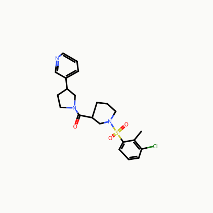 Cc1c(Cl)cccc1S(=O)(=O)N1CCCC(C(=O)N2CCC(c3cccnc3)C2)C1